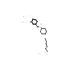 CNCCCCCCOC1CCC(N(C)C(=O)c2ccc(OC)c(OC)c2)CC1